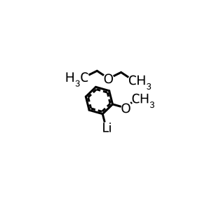 CCOCC.[Li][c]1ccccc1OC